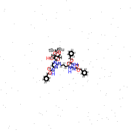 CC(C)(C)[Si]1(C(C)(C)C)OC[C@H]2O[C@@H](n3ccc(NC(=O)OCc4ccccc4)n/c3=N\CCCCN/C(=N/C(=O)OCc3ccccc3)NC(=O)OCc3ccccc3)[C@H](O)[C@@H]2O1